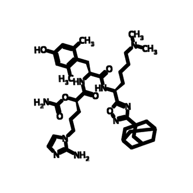 Cc1cc(O)cc(C)c1C[C@H](NC(=O)[C@@H](CCCn1ccnc1N)OC(N)=O)C(=O)N[C@@H](CCCCN(C)C)c1nc(C23CC4CC(CC(C4)C2)C3)no1